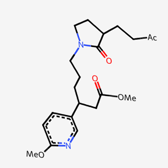 COC(=O)CC(CCCN1CCC(CCC(C)=O)C1=O)c1ccc(OC)nc1